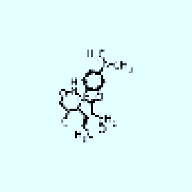 CC=CC1C(Cl)CON[N+]1(C(=O)C[PH2]=O)c1ccc(N(C)C)cc1